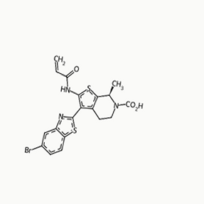 C=CC(=O)Nc1sc2c(c1-c1nc3cc(Br)ccc3s1)CCN(C(=O)O)[C@@H]2C